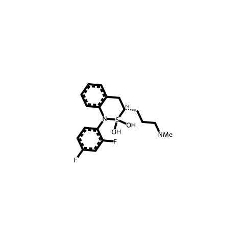 CNCCC[C@H]1Cc2ccccc2N(c2ccc(F)cc2F)S1(O)O